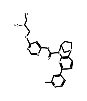 Cc1cc(-c2ccc3c(n2)N(C(=O)Nc2cc(OC[C@@H](O)CO)ncn2)C2CCN3C2)ccn1